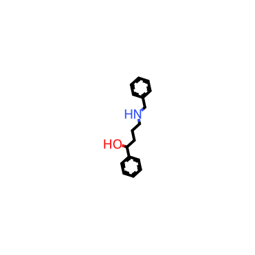 OC(CCCNCc1ccccc1)c1ccccc1